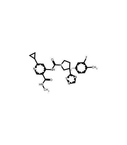 CNC(=O)c1cnc(C2CC2)cc1NC(=O)N1CC[C@@](c2ccc(C)c(F)c2)(c2ncns2)C1